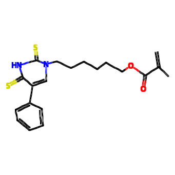 C=C(C)C(=O)OCCCCCCn1cc(-c2ccccc2)c(=S)[nH]c1=S